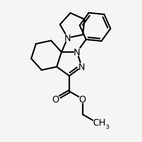 CCOC(=O)C1=NN(c2ccccc2)C2(N3CCCC3)CCCCC12